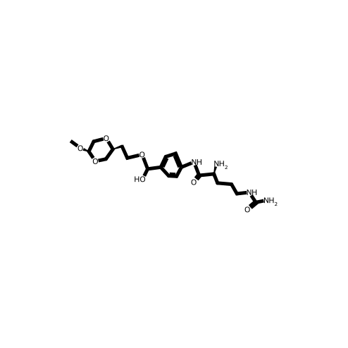 CO[C@H]1CO[C@@H](CCOC(O)c2ccc(NC(=O)[C@@H](N)CCCNC(N)=O)cc2)CO1